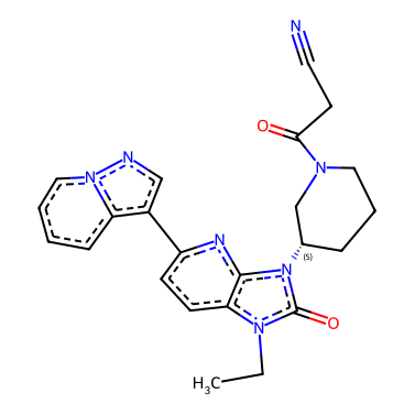 CCn1c(=O)n([C@H]2CCCN(C(=O)CC#N)C2)c2nc(-c3cnn4ccccc34)ccc21